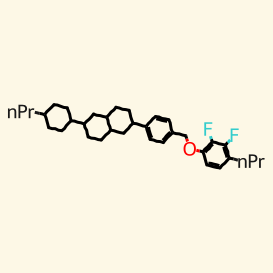 CCCc1ccc(OCc2ccc(C3CCC4CC(C5CCC(CCC)CC5)CCC4C3)cc2)c(F)c1F